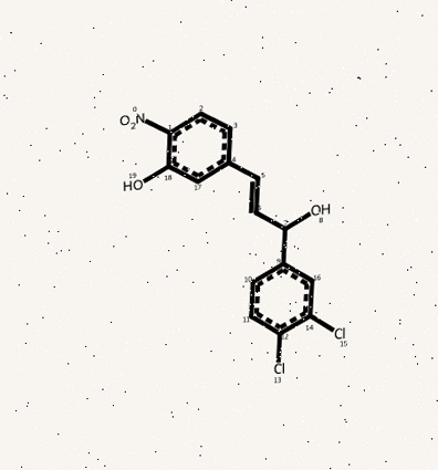 O=[N+]([O-])c1ccc(C=CC(O)c2ccc(Cl)c(Cl)c2)cc1O